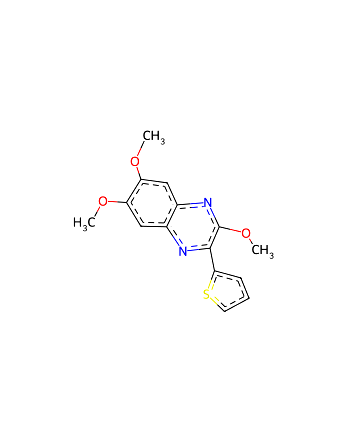 COc1cc2nc(OC)c(-c3cccs3)nc2cc1OC